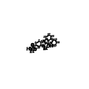 CCNS(=O)(=O)c1ccc2nc(C(O)(c3ccccc3)c3ccccc3)n(CC)c2c1